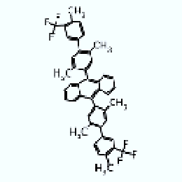 Cc1cc(-c2c3ccccc3c(-c3cc(C)c(-c4ccc(C)c(C(F)(F)F)c4)cc3C)c3ccccc23)c(C)cc1-c1ccc(C)c(C(F)(F)F)c1